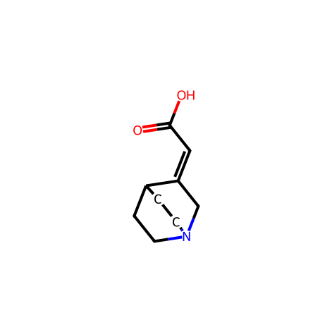 O=C(O)C=C1CN2CCC1CC2